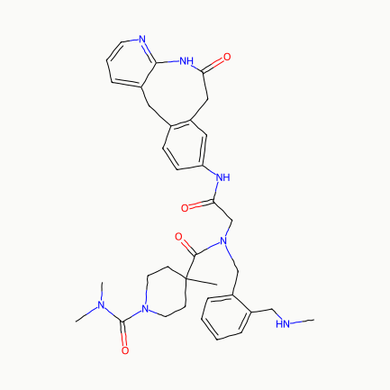 CNCc1ccccc1CN(CC(=O)Nc1ccc2c(c1)CC(=O)Nc1ncccc1C2)C(=O)C1(C)CCN(C(=O)N(C)C)CC1